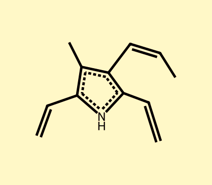 C=Cc1[nH]c(C=C)c(/C=C\C)c1C